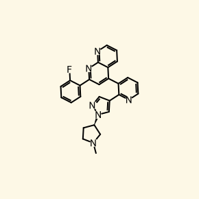 CN1CC[C@@H](n2cc(-c3ncccc3-c3cc(-c4ccccc4F)nc4ncccc34)cn2)C1